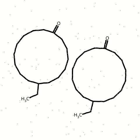 CCC1CCCCCCCC(=O)CCCCCCC1.CCC1CCCCCCCCC(=O)CCCCCC1